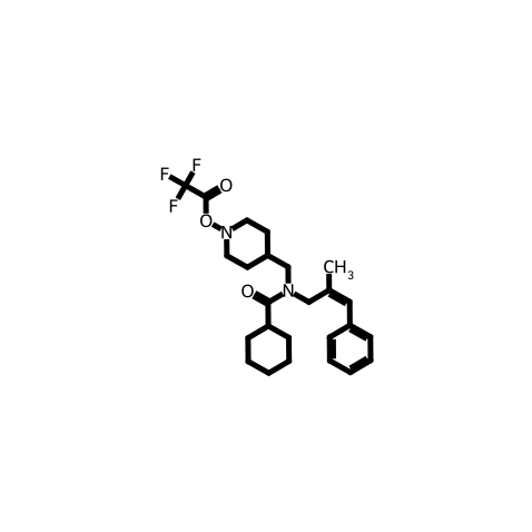 CC(=Cc1ccccc1)CN(CC1CCN(OC(=O)C(F)(F)F)CC1)C(=O)C1CCCCC1